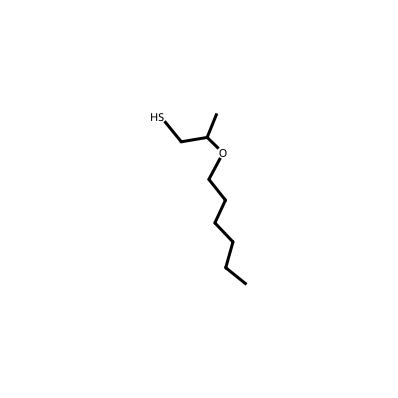 CCCCCCOC(C)CS